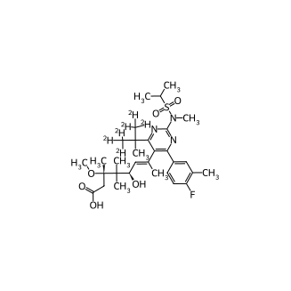 [2H]C([2H])([2H])C(C)(c1nc(N(C)S(=O)(=O)C(C)C)nc(-c2ccc(F)c(C)c2)c1/C(C)=C/[C@@H](O)C(C)(C)[C@](C)(CC(=O)O)OC)C([2H])([2H])[2H]